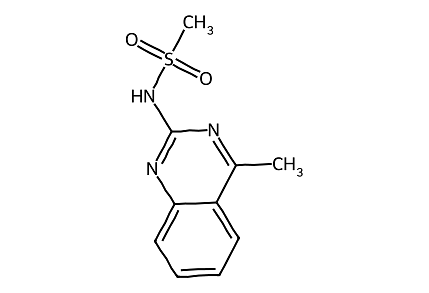 Cc1nc(NS(C)(=O)=O)nc2ccccc12